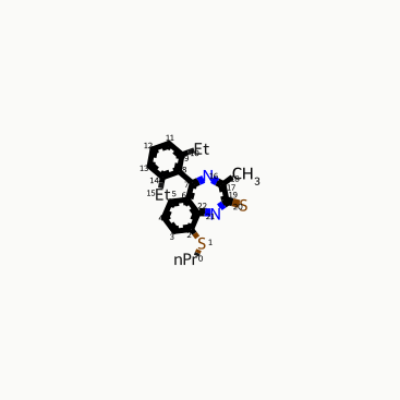 CCCSc1cccc2c(-c3c(CC)cccc3CC)nc(C)c(=S)nc12